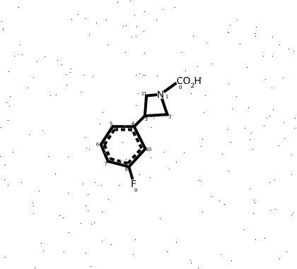 O=C(O)N1CC(c2cccc(F)c2)C1